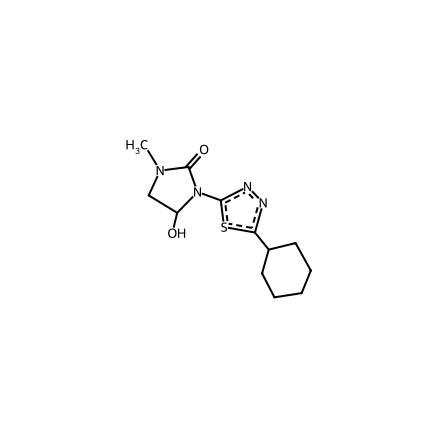 CN1CC(O)N(c2nnc(C3CCCCC3)s2)C1=O